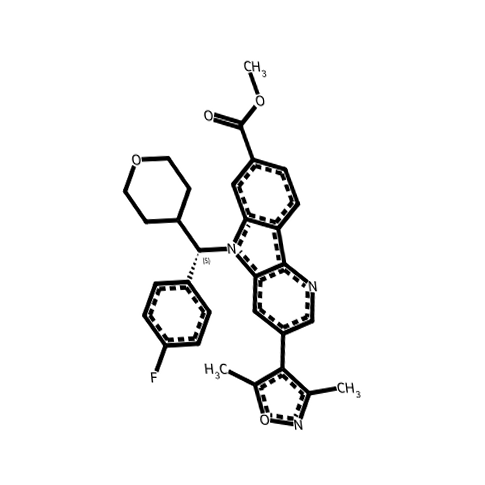 COC(=O)c1ccc2c3ncc(-c4c(C)noc4C)cc3n([C@H](c3ccc(F)cc3)C3CCOCC3)c2c1